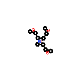 c1ccc2c(c1)-c1cc(-c3ccc4oc5ccccc5c4c3)ccc1B1c3ccc(-c4ccc5oc6ccccc6c5c4)cc3-c3cc(-c4ccc5oc6ccccc6c5c4)ccc3N12